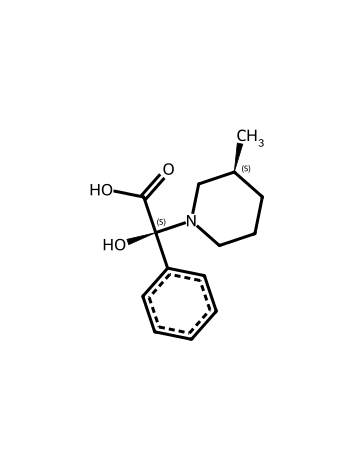 C[C@H]1CCCN([C@@](O)(C(=O)O)c2ccccc2)C1